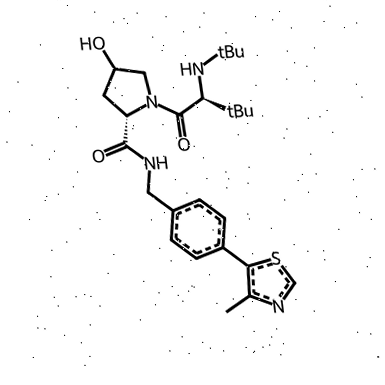 Cc1ncsc1-c1ccc(CNC(=O)[C@@H]2CC(O)CN2C(=O)[C@@H](NC(C)(C)C)C(C)(C)C)cc1